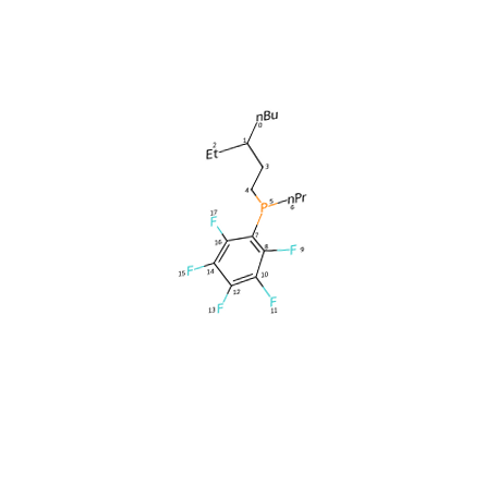 CCCCC(CC)CCP(CCC)c1c(F)c(F)c(F)c(F)c1F